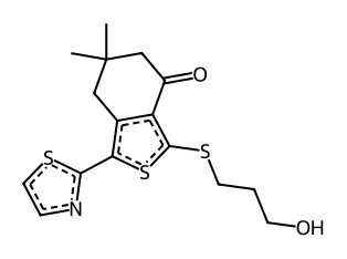 CC1(C)CC(=O)c2c(SCCCO)sc(-c3nccs3)c2C1